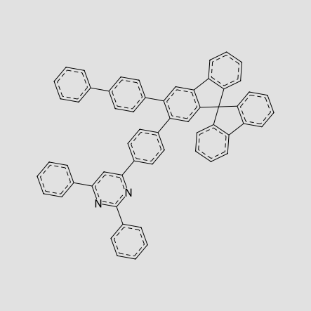 c1ccc(-c2ccc(-c3cc4c(cc3-c3ccc(-c5cc(-c6ccccc6)nc(-c6ccccc6)n5)cc3)C3(c5ccccc5-c5ccccc53)c3ccccc3-4)cc2)cc1